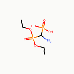 CCOP(=O)(OCC)C(N)P(=O)(O)O